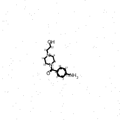 Nc1ccc(C(=O)N2CCN(CCO)CC2)cc1